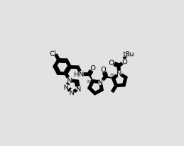 CC1CCN(C(=O)OC(C)(C)C)[C@@H]1C(=O)N1CCC[C@H]1C(=O)NCc1cc(Cl)ccc1-n1cnnn1